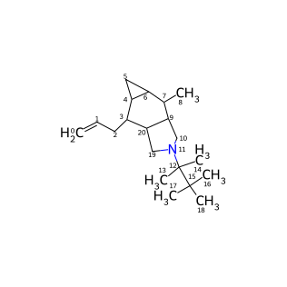 C=CCC1C2CC2C(C)C2CN(C(C)(C)C(C)(C)C)CC21